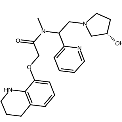 CN(C(=O)COc1cccc2c1NCCC2)C(CN1CC[C@H](O)C1)c1ccccn1